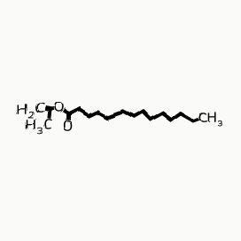 C=C(C)OC(=O)CCCCCCCCCCCCC